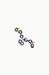 c1cc(N(c2ccc(-c3ccc4sc5ccccc5c4c3)cc2)c2ccc(-c3ccc4oc5ccccc5c4c3)nc2)c2cccnc2c1